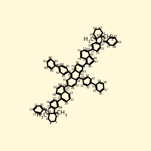 CC12CCCCC1(C)N(c1ccccc1)c1ccc(-c3cccc4c(-c5ccc6c(-c7ccc(-c8ccccc8)cc7)c7cc(-c8cccc9c(-c%10ccc%11c(c%10)C%10(C)CCCCC%10(C)N%11c%10ccccc%10)cccc89)ccc7c(-c7ccc(-c8ccccc8)cc7)c6c5)cccc34)cc12